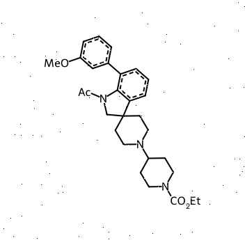 CCOC(=O)N1CCC(N2CCC3(CC2)CN(C(C)=O)c2c(-c4cccc(OC)c4)cccc23)CC1